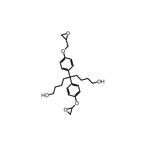 OCCCCC(CCCCO)(c1ccc(OCC2CO2)cc1)c1ccc(OC2CO2)cc1